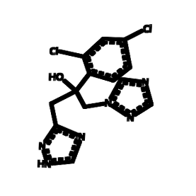 OC(Cc1nc[nH]n1)(Cn1cncn1)c1ccc(Cl)cc1Cl